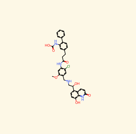 COc1cc(NC(=O)CCc2ccc(-c3ccccc3)c(NC(=O)O)c2)c(Cl)cc1CNCC(O)c1ccc(O)c2[nH]c(=O)ccc12